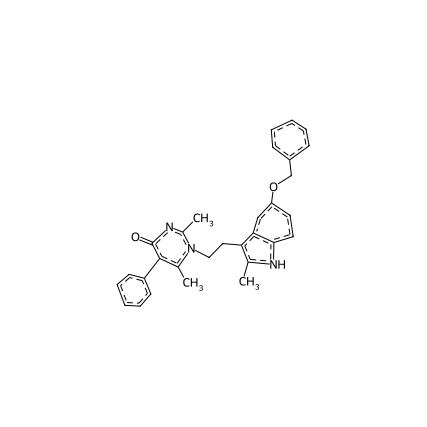 Cc1[nH]c2ccc(OCc3ccccc3)cc2c1CCn1c(C)nc(=O)c(-c2ccccc2)c1C